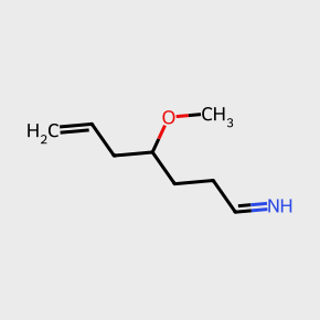 C=CCC(CCC=N)OC